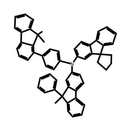 CC1(C)c2ccccc2-c2cccc(-c3ccc(N(c4ccc5c(c4)C4(CCCC4)c4ccccc4-5)c4ccc5c(c4)C(C)(c4ccccc4)c4ccccc4-5)cc3)c21